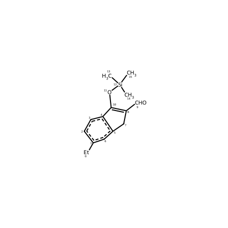 CCc1ccc2c(c1)CC(C=O)=C2O[Si](C)(C)C